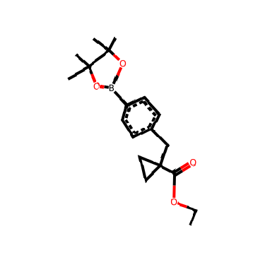 CCOC(=O)C1(Cc2ccc(B3OC(C)(C)C(C)(C)O3)cc2)CC1